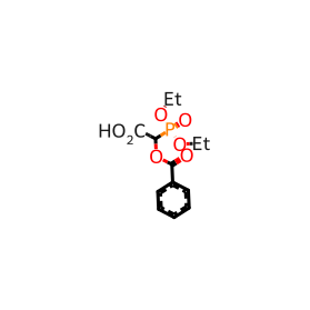 CCOP(=O)(OCC)C(OC(=O)c1ccccc1)C(=O)O